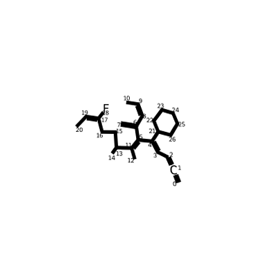 C=C=C/C=C(/C(C(=C)/C=C\C)=C(\C)C(C)CC/C(F)=C\C)C1CCCCC1